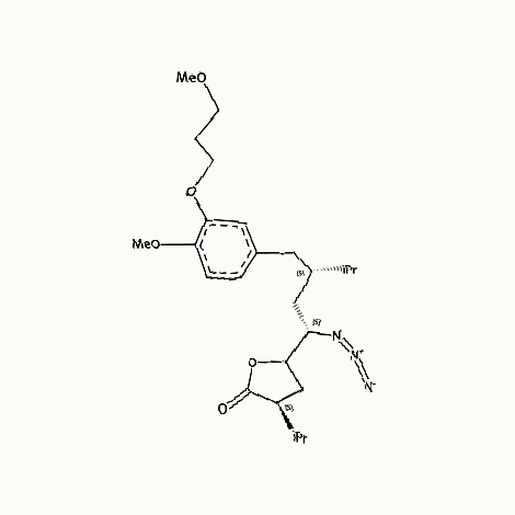 COCCCOc1cc(C[C@@H](C[C@H](N=[N+]=[N-])C2C[C@@H](C(C)C)C(=O)O2)C(C)C)ccc1OC